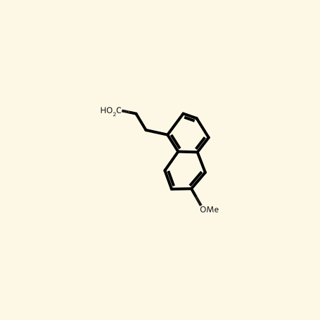 COc1ccc2c(CCC(=O)O)cccc2c1